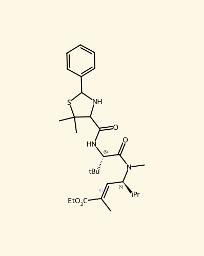 CCOC(=O)/C(C)=C/[C@H](C(C)C)N(C)C(=O)[C@@H](NC(=O)C1NC(c2ccccc2)SC1(C)C)C(C)(C)C